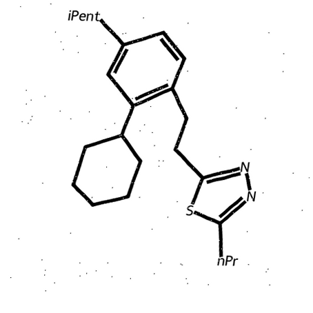 CCCc1nnc(CCc2ccc(C(C)CCC)cc2C2CCCCC2)s1